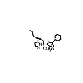 CC=CC#CCC(C(=O)O)(c1nc(-c2ccccc2)oc1C)n1nccn1